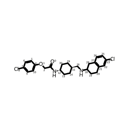 O=C(COc1ccc(Cl)cc1)N[C@H]1CC[C@H](CNC2CCc3cc(Cl)ccc3C2)CC1